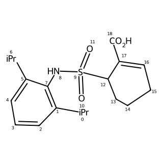 CC(C)c1cccc(C(C)C)c1NS(=O)(=O)C1CCCC=C1C(=O)O